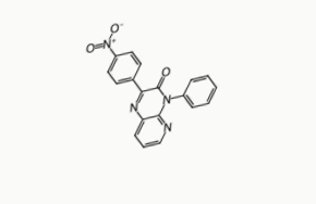 O=c1c(-c2ccc([N+](=O)[O-])cc2)nc2cccnc2n1-c1ccccc1